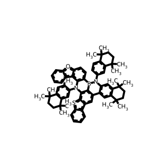 Cc1cc2c(cc1N1c3c4c(cc5c3sc3ccccc35)-c3cc5c(cc3N(c3ccc6c(c3)C(C)(C)CCC6(C)C)B4c3ccc4oc6ccccc6c4c31)C(C)(C)CCC5(C)C)C(C)(C)CCC2(C)C